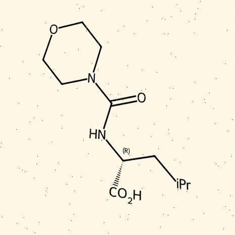 CC(C)C[C@@H](NC(=O)N1CCOCC1)C(=O)O